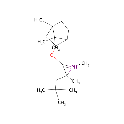 C[PH]1=C(OC2CC3(C)CCC2C3(C)C)C1(C)CC(C)(C)C